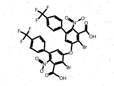 O=C(O)c1c(Br)c(Oc2cc(-c3ccc(C(F)(F)F)cc3)c([N+](=O)[O-])c(C(=O)O)c2Br)cc(-c2ccc(C(F)(F)F)cc2)c1[N+](=O)[O-]